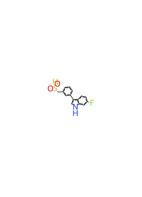 O=[SH](=O)Cc1cccc(-c2c[nH]c3cc(F)ccc23)c1